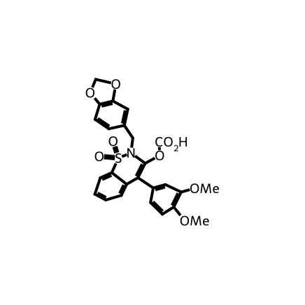 COc1ccc(C2=C(OC(=O)O)N(Cc3ccc4c(c3)OCO4)S(=O)(=O)c3ccccc32)cc1OC